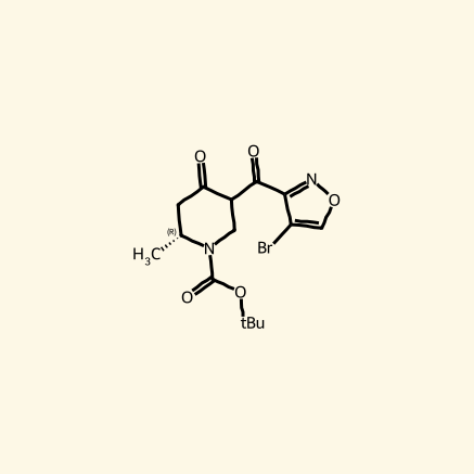 C[C@@H]1CC(=O)C(C(=O)c2nocc2Br)CN1C(=O)OC(C)(C)C